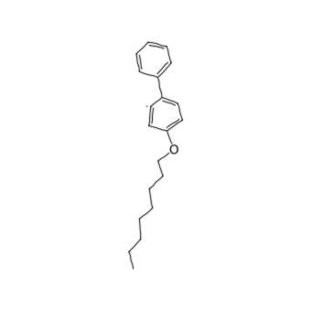 CCCCCCCCOc1c[c]c(-c2ccccc2)cc1